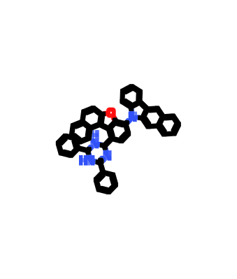 c1ccc(C2=NC(c3ccc(-n4c5ccccc5c5cc6ccccc6cc54)c4oc5ccc6ccccc6c5c34)NC(c3ccccc3)N2)cc1